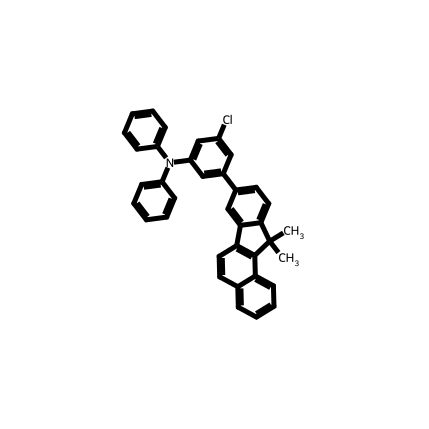 CC1(C)c2ccc(-c3cc(Cl)cc(N(c4ccccc4)c4ccccc4)c3)cc2-c2ccc3ccccc3c21